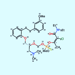 CCN(CC)C(=O)/C(Cl)=C(/C)OP(=S)(OC)OCO[C@@H](COc1ccccc1CCc1cccc(OC)c1)CN(C)C